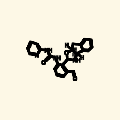 O=Cc1cccc(NC(=O)Nc2ccccn2)c1C1N[C@H]2c3ccccc3C[C@H]2O1